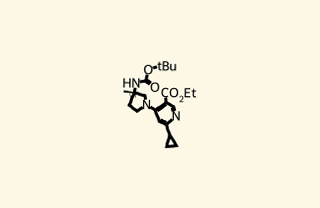 CCOC(=O)c1cnc(C2CC2)cc1N1CC[C@](C)(NC(=O)OC(C)(C)C)C1